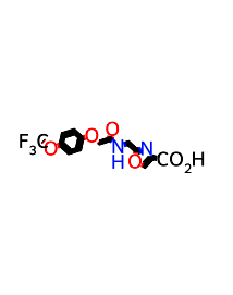 O=C(COc1ccc(OC(F)(F)F)cc1)NCc1nc(C(=O)O)co1